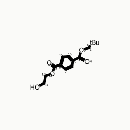 CC(C)(C)COC(=O)c1ccc(C(=O)OCCO)cc1